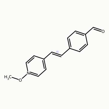 CO[n+]1ccc(/C=C/c2ccc(C=O)cc2)cc1